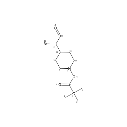 CC(C)(C)C(=O)ON1CCC(C(Br)C=O)CC1